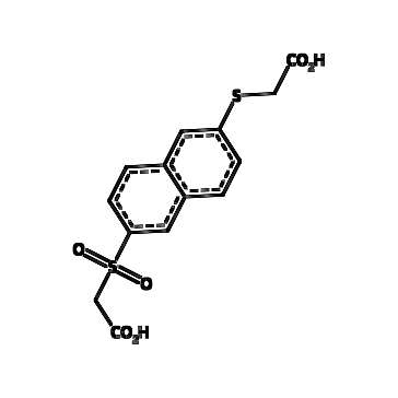 O=C(O)CSc1ccc2cc(S(=O)(=O)CC(=O)O)ccc2c1